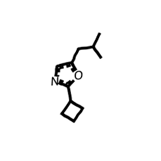 CC(C)Cc1cnc(C2CCC2)o1